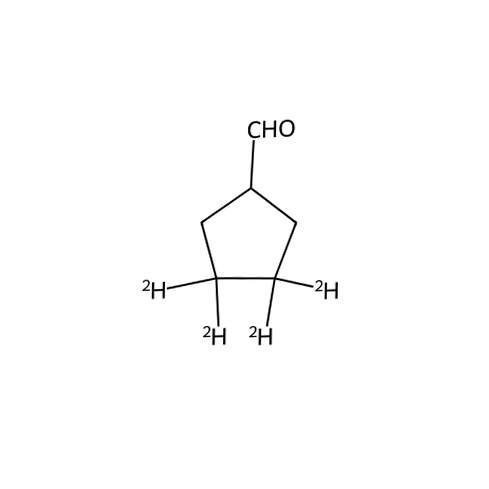 [2H]C1([2H])CC(C=O)CC1([2H])[2H]